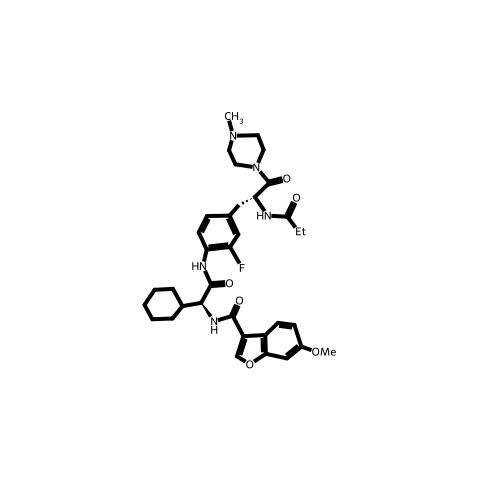 CCC(=O)N[C@H](Cc1ccc(NC(=O)[C@@H](NC(=O)c2coc3cc(OC)ccc23)C2CCCCC2)c(F)c1)C(=O)N1CCN(C)CC1